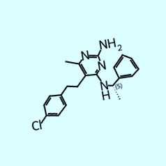 Cc1nc(N)nc(N[C@@H](C)c2ccccc2)c1CCc1ccc(Cl)cc1